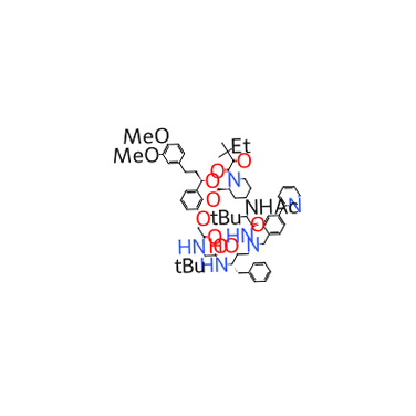 CCC(C)(C)C(=O)C(=O)N1CCCC[C@H]1C(=O)O[C@H](CCc1ccc(OC)c(OC)c1)c1cccc(OCC(=O)N[C@H](C(=O)N[C@@H](Cc2ccccc2)[C@@H](O)CN(Cc2ccc(-c3ccccn3)cc2)NC(=O)[C@@H](NC(C)=O)C(C)(C)C)C(C)(C)C)c1